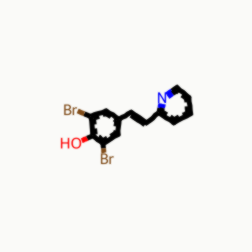 Oc1c(Br)cc(C=Cc2ccccn2)cc1Br